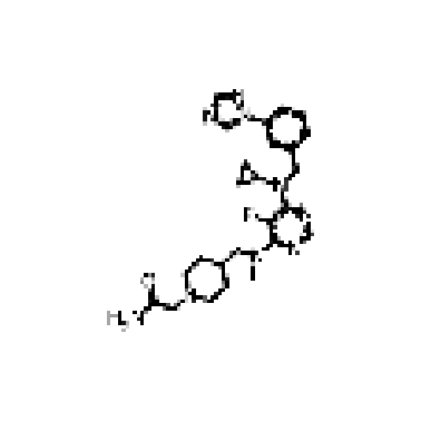 NC(=O)CN1CCC(CNc2ncnc(N(Cc3cccc(-n4cncn4)c3)C3CC3)c2F)CC1